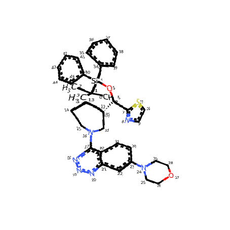 CC(C)(C)[Si](OC(c1nccs1)[C@H]1CCCN(c2nnnc3cc(N4CCOCC4)ccc23)C1)(c1ccccc1)c1ccccc1